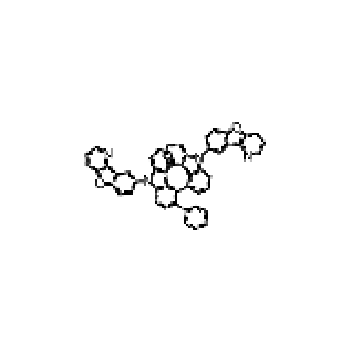 c1ccc(-c2ccc3c(c2-c2cccc4c2c2ccccc2n4-c2ccc4oc5cccnc5c4c2)c2ccccc2n3-c2ccc3oc4cccnc4c3c2)cc1